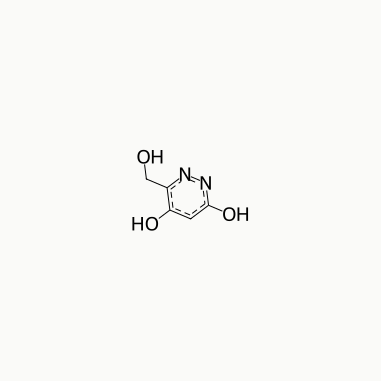 OCc1nnc(O)cc1O